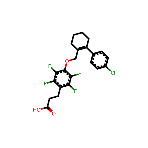 O=C(O)CCc1c(F)c(F)c(OCC2=C(c3ccc(Cl)cc3)CCCC2)c(F)c1F